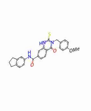 COc1ccc(Cn2c(=S)[nH]c3cc(C(=O)Nc4ccc5c(c4)CCC5)ccc3c2=O)cc1